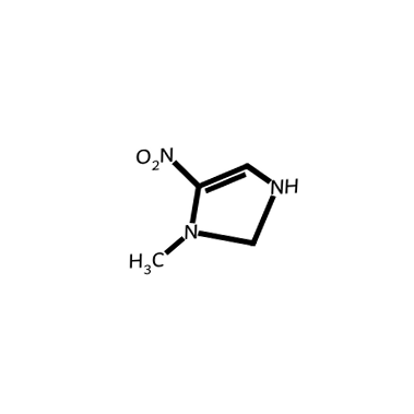 CN1CNC=C1[N+](=O)[O-]